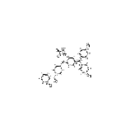 O=C(c1ccc(Sc2ccc([S+](c3ccc(Cl)cc3)c3ccc(Cl)cc3)cc2)cc1)c1ccccc1Cl.[O-][Cl+3]([O-])([O-])[O-]